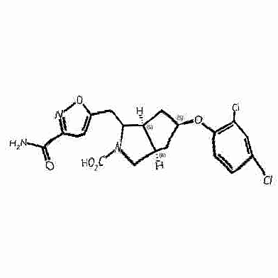 NC(=O)c1cc(CC2[C@H]3C[C@@H](Oc4ccc(Cl)cc4Cl)C[C@H]3CN2C(=O)O)on1